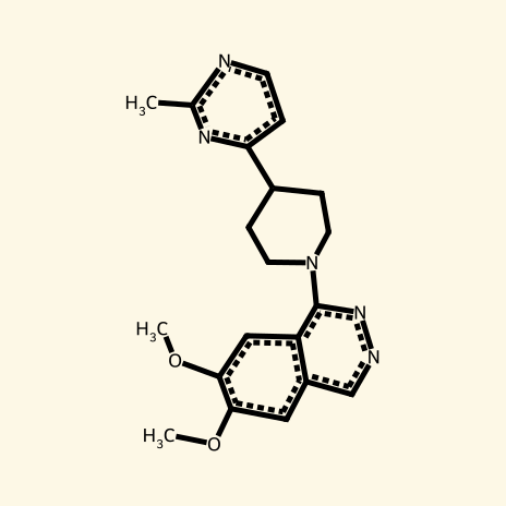 COc1cc2cnnc(N3CCC(c4ccnc(C)n4)CC3)c2cc1OC